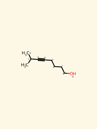 CC(C)C#CCCCCO